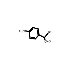 O=CC(Br)c1ccc([N+](=O)[O-])cc1